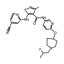 Cc1nsc(Nc2cc(C#N)ccn2)c1C(=O)Nc1ccc(OC2CCN(CC(F)F)CC2)nc1